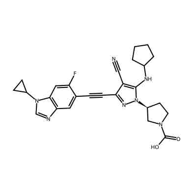 N#Cc1c(C#Cc2cc3ncn(C4CC4)c3cc2F)nn([C@H]2CCN(C(=O)O)C2)c1NC1CCCC1